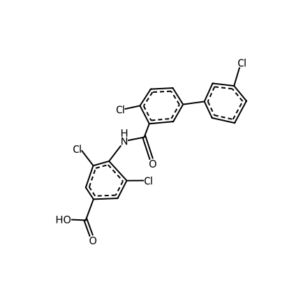 O=C(O)c1cc(Cl)c(NC(=O)c2cc(-c3cccc(Cl)c3)ccc2Cl)c(Cl)c1